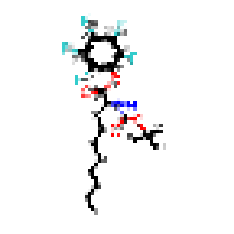 CCCCCCCCC(NC(=O)OC(C)(C)C)C(=O)Oc1c(F)c(F)c(F)c(F)c1F